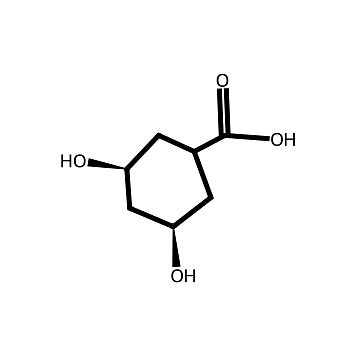 O=C(O)C1C[C@@H](O)C[C@@H](O)C1